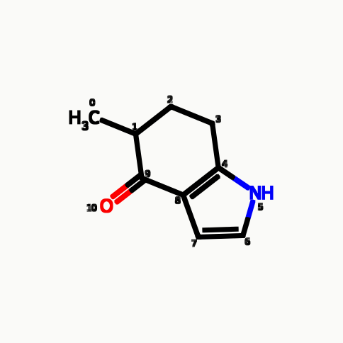 CC1CCc2[nH]ccc2C1=O